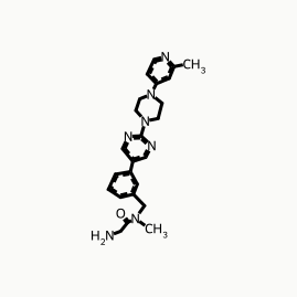 Cc1cc(N2CCN(c3ncc(-c4cccc(CN(C)C(=O)CN)c4)cn3)CC2)ccn1